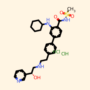 CS(=O)(=O)NC(=O)c1ccc(-c2ccc(CCNC[C@H](O)c3cccnc3)cc2)cc1NC1CCCCC1.Cl.Cl